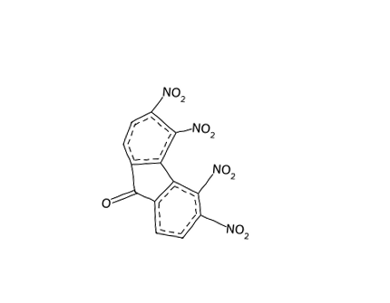 O=C1c2ccc([N+](=O)[O-])c([N+](=O)[O-])c2-c2c1ccc([N+](=O)[O-])c2[N+](=O)[O-]